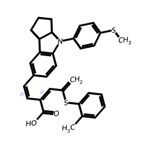 C=C(/C=C(/C=C\c1ccc2c(c1)C1CCCC1N2c1ccc(SC)cc1)C(=O)O)Sc1ccccc1C